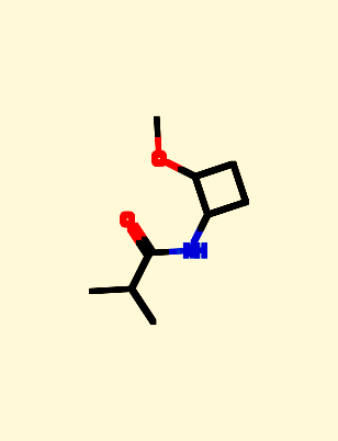 COC1CCC1NC(=O)C(C)C